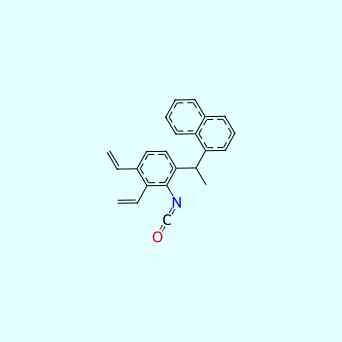 C=Cc1ccc(C(C)c2cccc3ccccc23)c(N=C=O)c1C=C